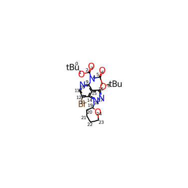 CC(C)(C)OC(=O)N(C(=O)OC(C)(C)C)c1ncc(Br)c2c1cnn2C1CCCCO1